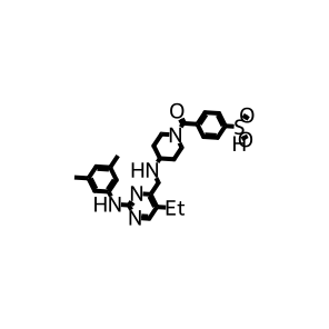 CCc1cnc(Nc2cc(C)cc(C)c2)nc1CNC1CCN(C(=O)c2ccc([SH](=O)=O)cc2)CC1